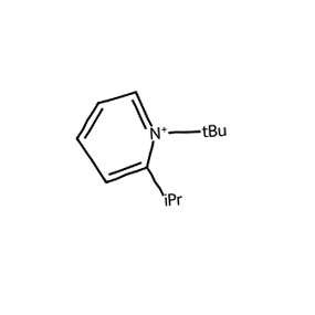 CC(C)c1cccc[n+]1C(C)(C)C